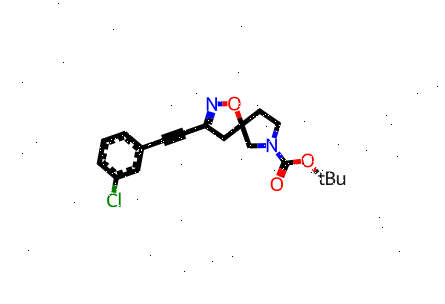 CC(C)(C)OC(=O)N1CCC2(CC(C#Cc3cccc(Cl)c3)=NO2)C1